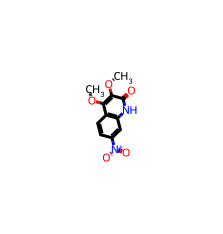 COc1c(OC)c2ccc([N+](=O)[O-])cc2[nH]c1=O